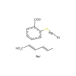 C/C=C/C=C/C(=O)O.C[CH2][Hg][S]c1ccccc1C(=O)[O-].[Na+]